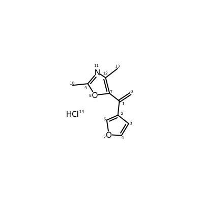 C=C(c1ccoc1)c1oc(C)nc1C.Cl